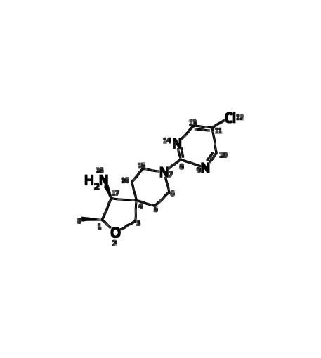 C[C@@H]1OCC2(CCN(c3ncc(Cl)cn3)CC2)[C@@H]1N